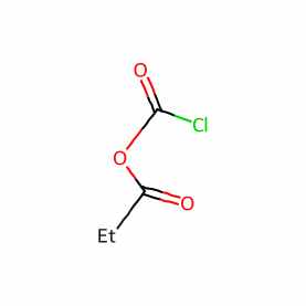 CCC(=O)OC(=O)Cl